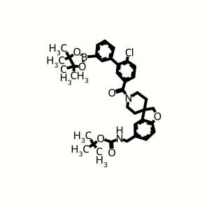 CC(C)(C)OC(=O)NCc1ccc2c(c1)C1(CCN(C(=O)c3ccc(Cl)c(-c4cccc(B5OC(C)(C)C(C)(C)O5)c4)c3)CC1)CO2